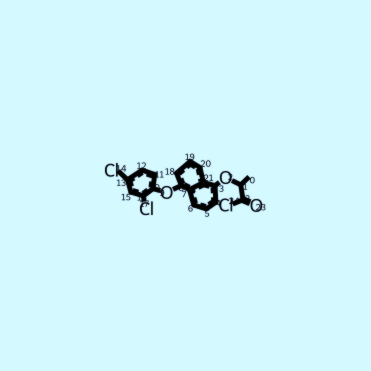 CC(Oc1cccc2c(Oc3ccc(Cl)cc3Cl)cccc12)C(=O)Cl